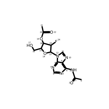 CC(=O)Nc1ncnc2c1ncn2C1OC(CO)C(OC(C)=O)C1F